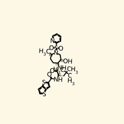 C[C@@H]1CC[C@H](NC(=O)[C@H](CC(C)(C)C)NC(=O)c2cc3sccc3s2)[C@@H](O)CN1S(=O)(=O)c1ccccn1